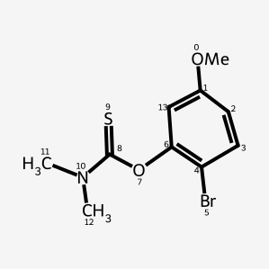 COc1ccc(Br)c(OC(=S)N(C)C)c1